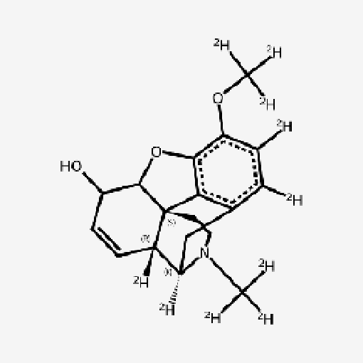 [2H]c1c([2H])c(OC([2H])([2H])[2H])c2c3c1C[C@@]1([2H])N(C([2H])([2H])[2H])CC[C@@]34C(O2)C(O)C=C[C@]41[2H]